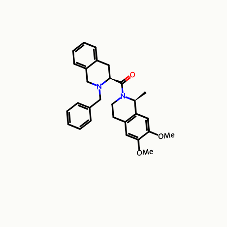 COc1cc2c(cc1OC)[C@H](C)N(C(=O)[C@@H]1Cc3ccccc3CN1Cc1ccccc1)CC2